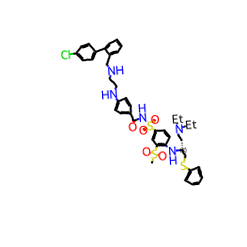 CCN(CC)CC[C@H](CSc1ccccc1)Nc1ccc(S(=O)(=O)NC(=O)c2ccc(NCCNCc3ccccc3-c3ccc(Cl)cc3)cc2)cc1S(C)(=O)=O